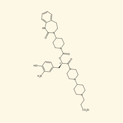 Bc1cc(C[C@@H](OC(=O)N2CCC(N3CCc4ccccc4NC3=O)CC2)C(=O)N2CCN(C3CCN(CCC(=O)OCC)CC3)CC2)ccc1O